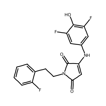 O=C1C=C(Nc2cc(F)c(O)c(F)c2)C(=O)N1CCc1ccccc1F